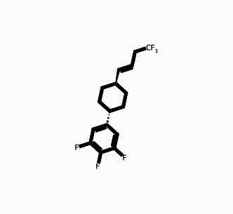 Fc1cc([C@H]2CC[C@H](C=CCC(F)(F)F)CC2)cc(F)c1F